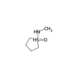 CN[SH]1(=O)CCCC1